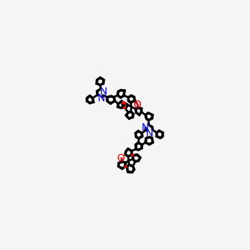 c1ccc(-c2cc(-c3cccc(-c4ccc5c(c4)Oc4ccc(-c6cccc(-c7cc(-c8nc(-c9ccccc9)cc(-c9ccccc9)n8)ccc7-c7ccccc7)c6)cc4C54c5ccccc5-c5ccccc54)c3)nc(-c3cccc(-c4cc(-c5ccc6c(c5)C5(c7ccccc7O6)c6ccccc6-c6ccccc65)ccc4-c4ccccc4)c3)n2)cc1